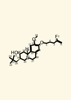 C=C(F)CCCOc1cc2c(cc1OC)[C@H]1C[C@@H](O)[C@H](CC(C)(C)C)CN1CC2